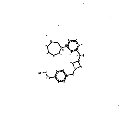 CCCCCCCCOc1ccc(CN2CC(Nc3nccc(N4CCCCCC4)n3)C2)cc1